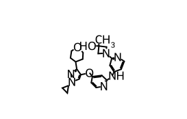 CC1(O)CN(c2cc(Nc3cc(Oc4cn(C5CC5)nc4C4CCOCC4)ccn3)ccn2)C1